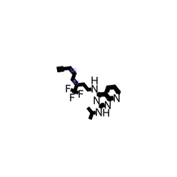 C#C/C=C\C=C(/CCNc1nc(NC(C)C)nc2ncccc12)C(F)(F)F